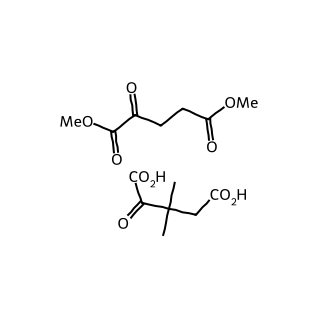 CC(C)(CC(=O)O)C(=O)C(=O)O.COC(=O)CCC(=O)C(=O)OC